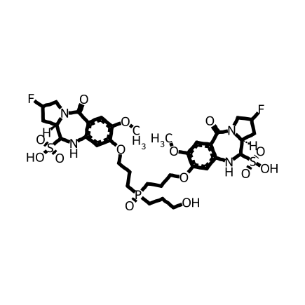 COc1cc2c(cc1OCCCP(=O)(CCCO)CCCOc1cc3c(cc1OC)C(=O)N1CC(F)C[C@H]1C(S(=O)(=O)O)N3)NC(S(=O)(=O)O)[C@@H]1CC(F)CN1C2=O